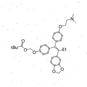 CCC(=C(c1ccc(OCCN(C)C)cc1)c1ccc(OCOC(=O)C(C)(C)C)cc1)c1ccc2c(c1)OCO2